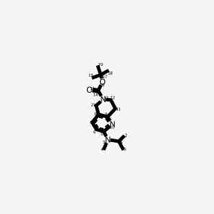 CC(C)N(C)c1ccc2c(n1)CCN(C(=O)OC(C)(C)C)C2